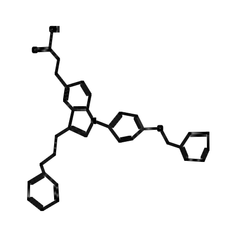 O=C(O)CCc1ccc2c(c1)c(CCCc1ccccc1)cn2-c1ccc(OCc2ccccc2)cc1